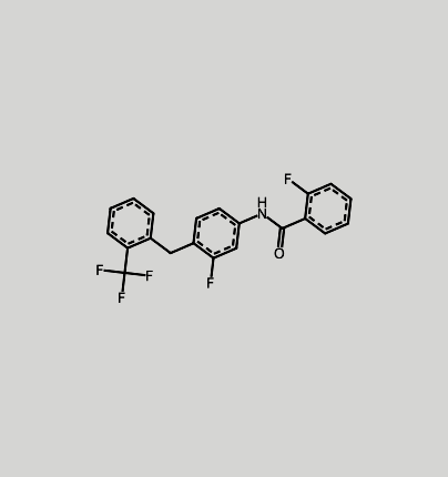 O=C(Nc1ccc(Cc2ccccc2C(F)(F)F)c(F)c1)c1ccccc1F